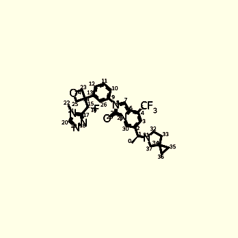 C[C@@H](c1cc(C(F)(F)F)c2cn(-c3cccc(C4([C@H](F)c5nncn5C)COC4)c3)c(=O)n2c1)N1CCC2(CC2)C1